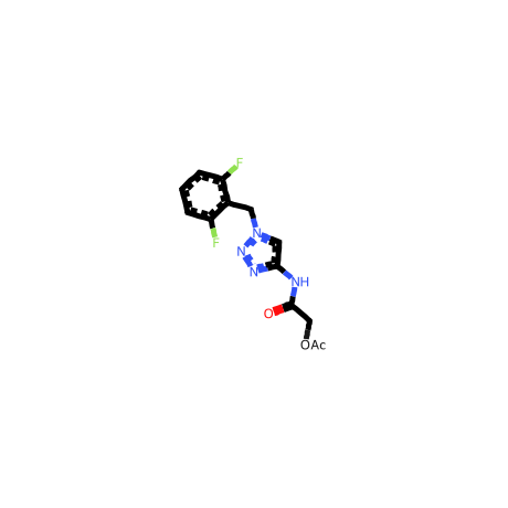 CC(=O)OCC(=O)Nc1cn(Cc2c(F)cccc2F)nn1